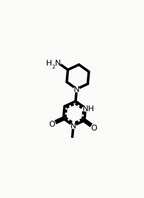 Cn1c(=O)cc(N2CCCC(N)C2)[nH]c1=O